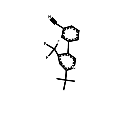 CC(C)(C)c1cc(C(F)(F)F)c(-c2cccc(C#N)c2)cn1